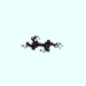 CCCCC(CC)COc1ccc(C2(c3ccc(OCC4(CC)COC4)cc3)c3ccccc3-c3ccc(N(c4ccccc4)c4ccc(-c5ccc(N(C6=CC7C(C=C6)c6ccccc6C7(c6ccc(OCC(CC)CCCC)cc6)c6ccc(OCC7(CC)COC7)cc6)c6ccccc6)cc5)cc4)cc32)cc1